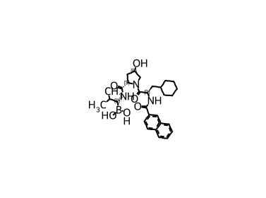 CC(C)[C@H](NC(=O)[C@@H]1C[C@@H](O)CN1C(=O)[C@@H](CC1CCCCC1)NC(=O)c1ccc2ccccc2c1)B(O)O